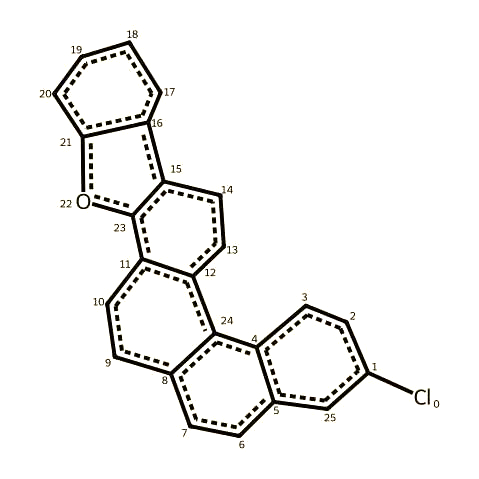 Clc1ccc2c(ccc3ccc4c(ccc5c6ccccc6oc54)c32)c1